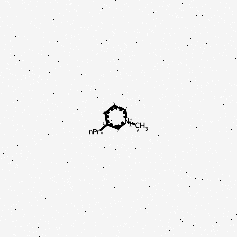 CCCc1ccc[n+](C)c1